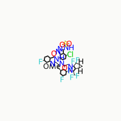 COc1c(F)ccc2c(=O)n(-c3ccc(Cl)c4c(NS(C)(=O)=O)nn(C)c34)c(C(Cc3cc(F)cc(F)c3)NC(=O)Cn3nc(C(F)F)c4c3C(F)(F)[C@@H]3C[C@H]43)nc12